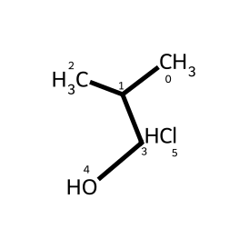 CC(C)CO.Cl